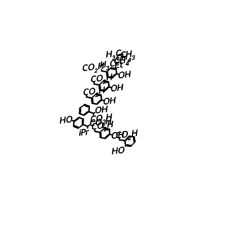 C.C.CC.CC(C)C(C(=O)O)c1ccc(O)cc1.CCC.O=C(O)C(O)c1ccccc1.O=C(O)Cc1ccc(O)cc1.O=C(O)Cc1ccc(O)cc1.O=C(O)Cc1ccc(O)cc1.O=C(O)Cc1ccc(O)cc1.O=C(O)Cc1ccccc1O